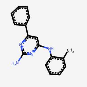 Cc1ccccc1Nc1cc(-c2ccccc2)nc(N)n1